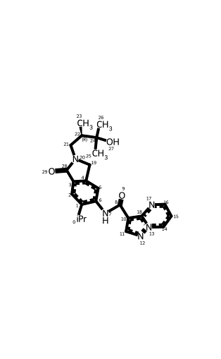 CC(C)c1cc2c(cc1NC(=O)c1cnn3cccnc13)CN(C[C@@H](C)C(C)(C)O)C2=O